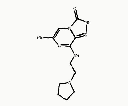 CC(C)(C)c1cn2c(=O)[nH]nc2c(NCCN2CCCC2)n1